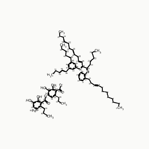 CCCCCCCCC#CCCc1ccccc1N=C(CCCCC)C(C=CCCCCCCCCC)=Nc1cc(CCCCC)cc(CCCCC)c1.CCCc1ccc(O)c(O)c1C(=O)[O-].CCCc1ccc(O)c(O)c1C(=O)[O-].[Pd+2]